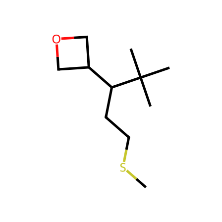 CSCCC(C1COC1)C(C)(C)C